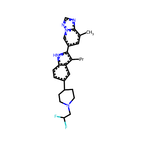 Cc1cc(-c2[nH]c3ccc(C4CCN(CC(F)F)CC4)cc3c2C(C)C)cn2ncnc12